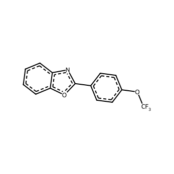 FC(F)(F)Oc1ccc(-c2nc3ccccc3o2)cc1